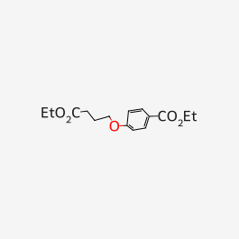 CCOC(=O)CCCOc1ccc(C(=O)OCC)cc1